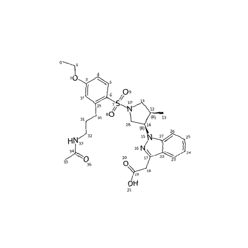 CCOc1ccc(S(=O)(=O)N2C[C@@H](C)[C@@H](n3nc(CC(=O)O)c4ccccc43)C2)c(CCCNC(C)=O)c1